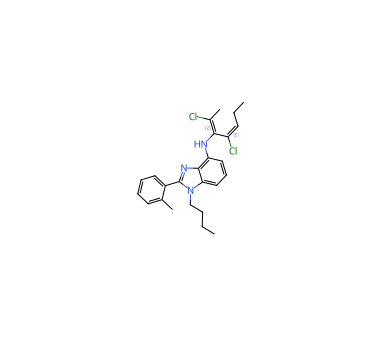 CC/C=C(Cl)\C(Nc1cccc2c1nc(-c1ccccc1C)n2CCCC)=C(/C)Cl